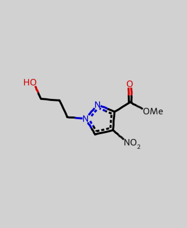 COC(=O)c1nn(CCCO)cc1[N+](=O)[O-]